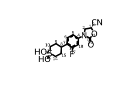 N#C[C@H]1CN(c2ccc(C3CCS(O)(O)CC3)c(F)c2)C(=O)O1